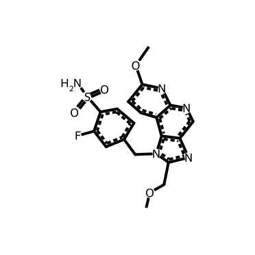 COCc1nc2cnc3nc(OC)ccc3c2n1Cc1ccc(S(N)(=O)=O)c(F)c1